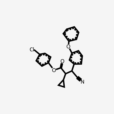 N#CC(c1cccc(Oc2ccccc2)c1)C(C(=O)Oc1ccc(Cl)cc1)C1CC1